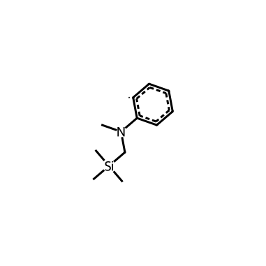 CN(C[Si](C)(C)C)c1[c]cccc1